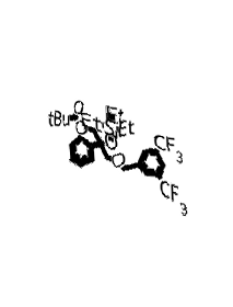 CC[Si](CC)(CC)OC(COCc1cc(C(F)(F)F)cc(C(F)(F)F)c1)(COC(=O)C(C)(C)C)c1ccccc1